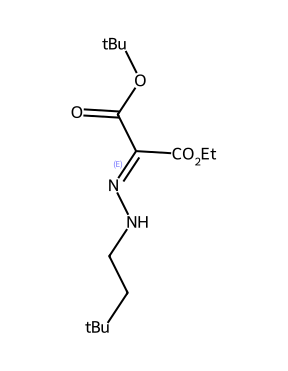 CCOC(=O)/C(=N\NCCC(C)(C)C)C(=O)OC(C)(C)C